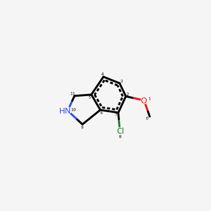 COc1ccc2c(c1Cl)CNC2